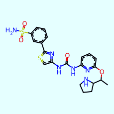 CC(Oc1cccc(NC(=O)Nc2csc(-c3cccc(S(N)(=O)=O)c3)n2)n1)C1CCCN1